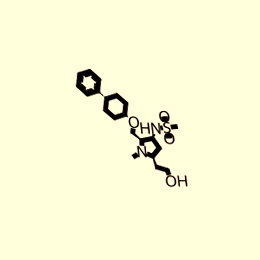 CN1[C@H](CCO)C[C@H](NS(C)(=O)=O)[C@@H]1CO[C@H]1CC[C@@H](c2ccccc2)CC1